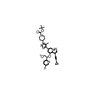 COCC(Oc1cc(-c2nnn(C3CCN(C(=O)OC(C)(C)C)CC3)c2C)cn2ncc(C#CC3CC3)c12)c1ccc(F)cn1